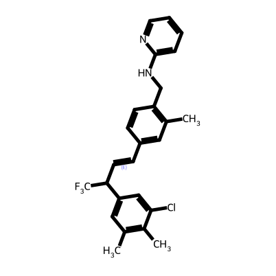 Cc1cc(/C=C/C(c2cc(C)c(C)c(Cl)c2)C(F)(F)F)ccc1CNc1ccccn1